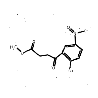 COC(=O)CCC(=O)c1cc([N+](=O)[O-])ccc1O